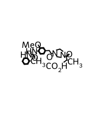 COc1cc(CC(=O)N2CCCN(C(=O)C(C)CC(=O)O)CC2)ccc1NC(=O)Nc1ccccc1C